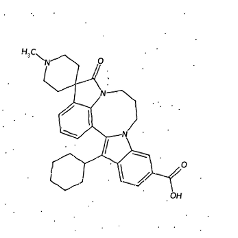 CN1CCC2(CC1)C(=O)N1CCCn3c(c(C4CCCCC4)c4ccc(C(=O)O)cc43)-c3cccc2c31